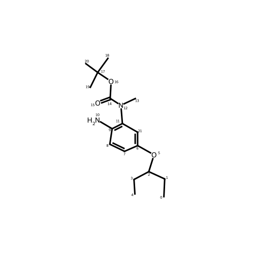 CCC(CC)Oc1ccc(N)c(N(C)C(=O)OC(C)(C)C)c1